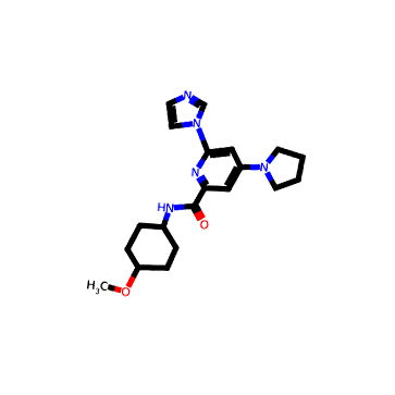 COC1CCC(NC(=O)c2cc(N3CCCC3)cc(-n3ccnc3)n2)CC1